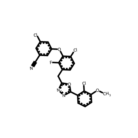 COc1cccc(-c2nnc(Cc3ccc(Cl)c(Oc4cc(Cl)cc(C#N)c4)c3F)o2)c1Cl